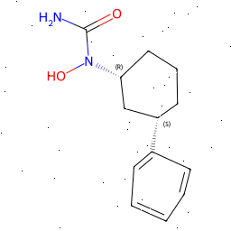 NC(=O)N(O)[C@@H]1CCC[C@H](c2ccccc2)C1